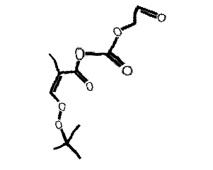 CC(=COOC(C)(C)C)C(=O)OC(=O)OCC=O